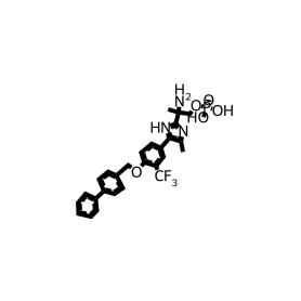 Cc1nc(C(C)(N)COP(=O)(O)O)[nH]c1-c1ccc(OCc2ccc(-c3ccccc3)cc2)c(C(F)(F)F)c1